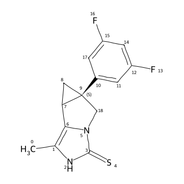 Cc1[nH]c(=S)n2c1C1C[C@]1(c1cc(F)cc(F)c1)C2